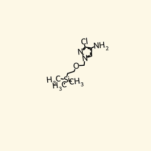 C[Si](C)(C)CCOCn1cc(N)c(Cl)n1